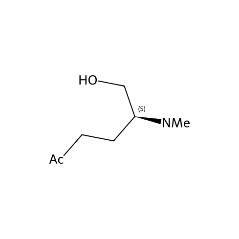 CN[C@H](CO)CCC(C)=O